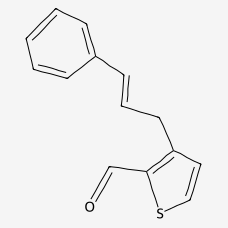 O=Cc1sccc1CC=Cc1ccccc1